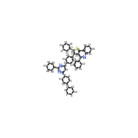 c1ccc(-c2ccc(-c3cc(-c4ccc(-c5c(-c6ccccc6)sc6c5c(-c5ccccc5)nc5ccccc56)cc4)nc(-c4ccccc4)n3)cc2)cc1